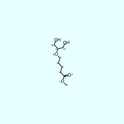 COC(=O)CCCCOC(CO)CO